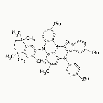 Cc1cc2c3c(c1)N(c1ccc(C(C)(C)C)cc1)c1c(oc4ccc(C(C)(C)C)cc14)B3c1cc(C(C)(C)C)ccc1N2c1cc2c(cc1C)C(C)(C)CCC2(C)C